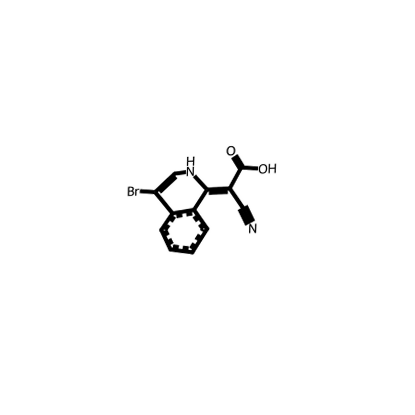 N#C/C(C(=O)O)=C1/NC=C(Br)c2ccccc21